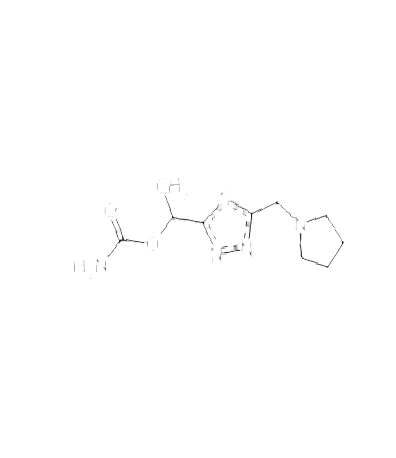 CC(OC(N)=O)c1nnc(CN2CCCC2)s1